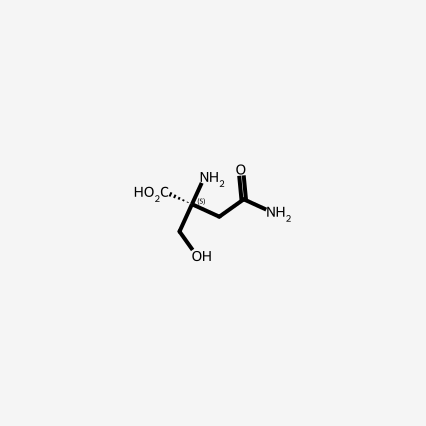 NC(=O)C[C@](N)(CO)C(=O)O